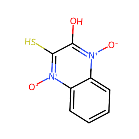 [O-][n+]1c(O)c(S)[n+]([O-])c2ccccc21